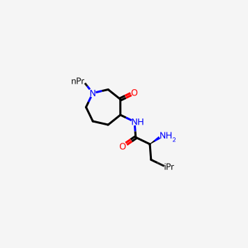 CCCN1CCCC(NC(=O)[C@@H](N)CC(C)C)C(=O)C1